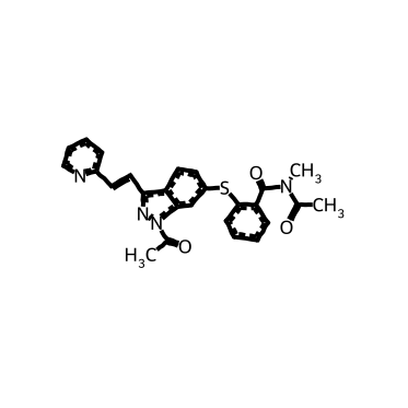 CC(=O)N(C)C(=O)c1ccccc1Sc1ccc2c(/C=C/c3ccccn3)nn(C(C)=O)c2c1